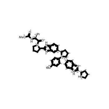 COC(=O)N[C@H](C(=O)N1CCCC1c1nc2cc([C@H]3CC[C@H](c4ccc5[nH]c([C@@H]6CCCN6)nc5c4)N3c3ccc(C(C)(C)C)cc3)ccc2[nH]1)C(C)C